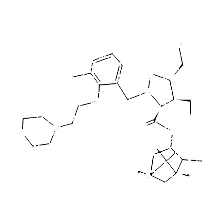 C[C@H](O)[C@@H]1[C@H](CO)ON(Cc2cccc(I)c2OCCN2CCOCC2)[C@@H]1C(=O)NC1C[C@H]2C[C@@H]([C@@H]1C)C2(C)C